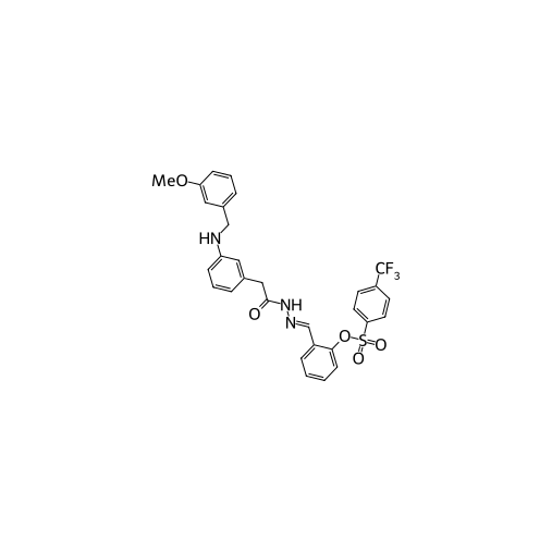 COc1cccc(CNc2cccc(CC(=O)NN=Cc3ccccc3OS(=O)(=O)c3ccc(C(F)(F)F)cc3)c2)c1